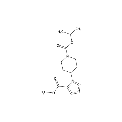 COC(=O)c1cccn1C1CCN(C(=O)OC(C)C)CC1